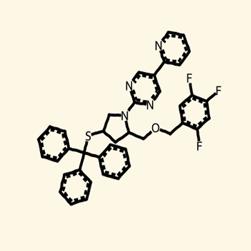 Fc1cc(F)c(COCC2CC(SC(c3ccccc3)(c3ccccc3)c3ccccc3)CN2c2ncc(-c3ccccn3)cn2)cc1F